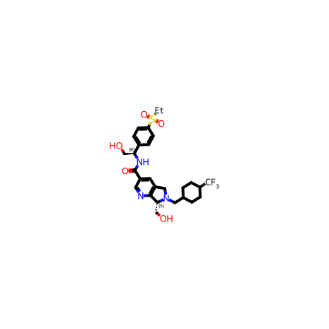 CCS(=O)(=O)c1ccc([C@H](CO)NC(=O)c2cnc3c(c2)CN(CC2CCC(C(F)(F)F)CC2)[C@@H]3CO)cc1